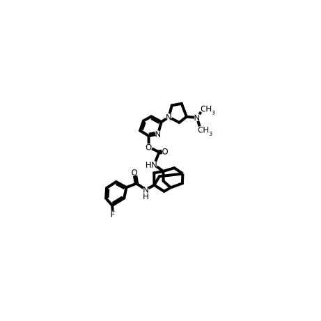 CN(C)C1CCN(c2cccc(OC(=O)NC34CC5CC(C3)CC(NC(=O)c3cccc(F)c3)(C5)C4)n2)C1